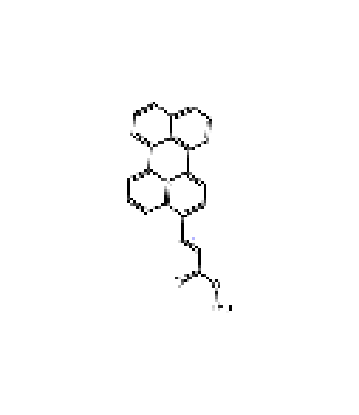 CC(C)(C)OC(=O)/C=C/c1ccc2c3cccc4cccc(c5cccc1c52)c43